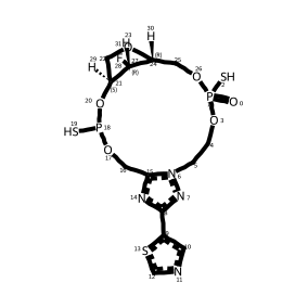 O=P1(S)OCCn2nc(-c3cncs3)nc2COP(S)O[C@H]2CO[C@H](CO1)[C@H]2F